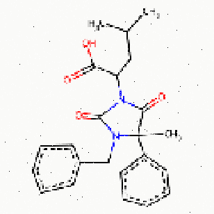 CC(C)CC(C(=O)O)N1C(=O)N(Cc2ccccc2)C(C)(c2ccccc2)C1=O